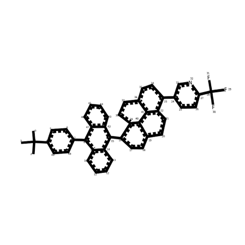 CC(C)(C)c1ccc(-c2c3ccccc3c(-c3ccc4ccc5c(-c6ccc(C(F)(F)F)nc6)ccc6ccc3c4c65)c3ccccc23)cc1